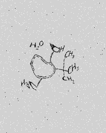 Cc1ccc(O)c(C(C)(C)C)c1.O